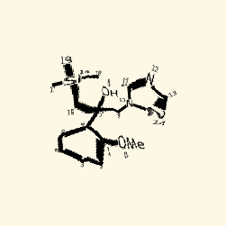 COc1ccccc1C(O)(Cn1cncn1)C[Si](C)(C)C